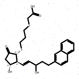 O=C(O)CSCCCS[C@H]1C(=O)C[C@@H](O)[C@@H]1/C=C/C(O)CCc1ccc2ccccc2c1